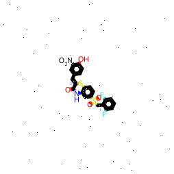 O=C1Nc2cc(S(=O)(=O)Cc3c(F)cccc3F)ccc2S/C1=C\c1ccc(O)c([N+](=O)[O-])c1